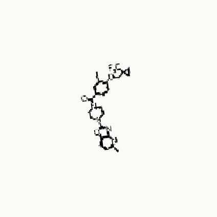 Cc1ccc2oc(N3CCN(C(=O)c4ccc(OCC5(C(F)(F)F)CC5)c(I)c4)CC3)nc2n1